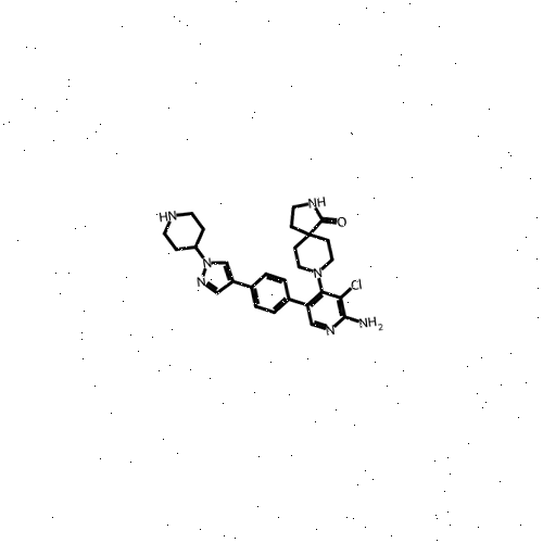 Nc1ncc(-c2ccc(-c3cnn(C4CCNCC4)c3)cc2)c(N2CCC3(CCNC3=O)CC2)c1Cl